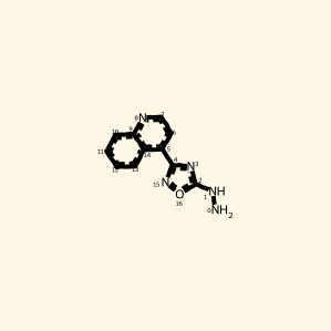 NNc1nc(-c2ccnc3ccccc23)no1